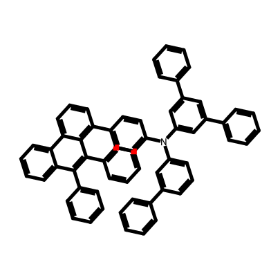 c1ccc(-c2cccc(N(c3ccc(-c4cccc5c4c(-c4ccccc4)c(-c4ccccc4)c4ccccc45)cc3)c3cc(-c4ccccc4)cc(-c4ccccc4)c3)c2)cc1